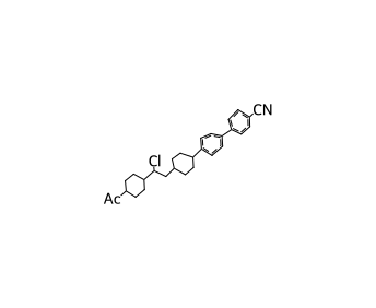 CC(=O)C1CCC(C(Cl)CC2CCC(c3ccc(-c4ccc(C#N)cc4)cc3)CC2)CC1